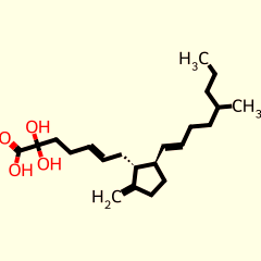 C=C1CC[C@H](/C=C/CCC(C)CCC)[C@H]1C/C=C/CCC(O)(O)C(=O)O